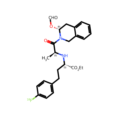 CCOC(=O)[C@H](CCc1ccc([18F])cc1)N[C@@H](C)C(=O)N1Cc2ccccc2C[C@H]1OC=O